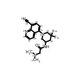 CN(C)CC(=O)NC1CN(c2ccc(C#N)c3ncccc23)CC(F)(F)C1